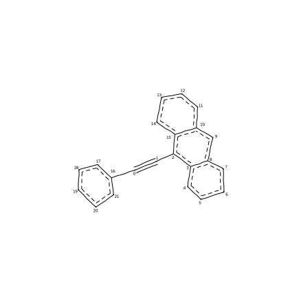 C(#Cc1c2ccccc2cc2ccccc12)c1ccccc1